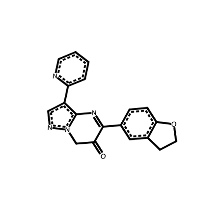 O=C1Cn2ncc(-c3ccccn3)c2N=C1c1ccc2c(c1)CCO2